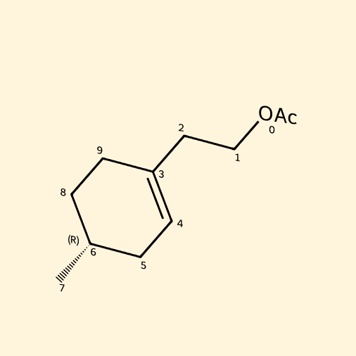 CC(=O)OCCC1=CC[C@H](C)CC1